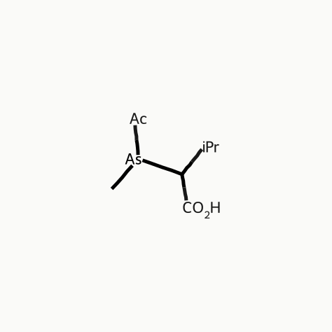 [CH2]C(=O)[As](C)C(C(=O)O)C(C)C